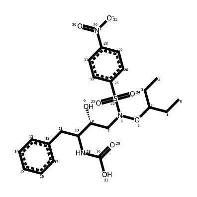 CCC(CC)ON(C[C@@H](O)C(Cc1ccccc1)NC(=O)O)S(=O)(=O)c1ccc([N+](=O)[O-])cc1